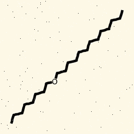 CCCCCCCCCCCCCOCCCCCCCC